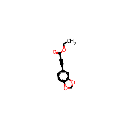 CCOC(=O)C#Cc1ccc2c(c1)OCO2